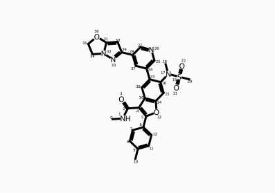 CNC(=O)c1c(-c2ccc(C)cc2)oc2cc(N(C)S(C)(=O)=O)c(-c3cncc(-c4cc5n(n4)CCO5)c3)cc12